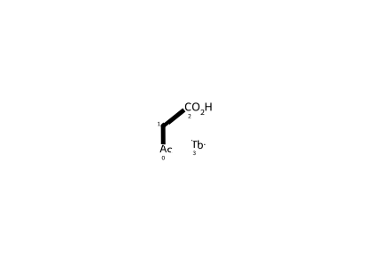 CC(=O)CC(=O)O.[Tb]